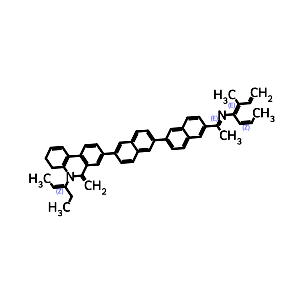 C=C/C(C)=C(\C=C/C)/N=C(\C)c1ccc2cc(-c3ccc4cc(-c5ccc6c(c5)C(=C)N(/C(=C\C)CC)C5=C6C=CCC5)ccc4c3)ccc2c1